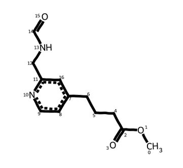 COC(=O)CCCc1ccnc(CNC=O)c1